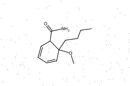 CCCCC1(OC)C=CC=CC1C(N)=O